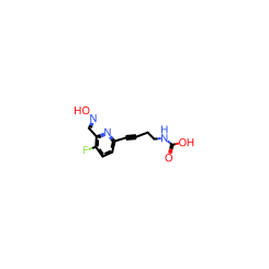 O=C(O)NCCC#Cc1ccc(F)c(C=NO)n1